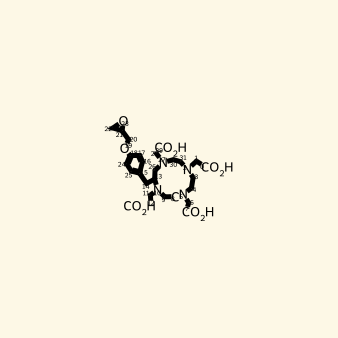 O=C(O)CN1CCN(CC(=O)O)CCN(CC(=O)O)C(Cc2ccc(OCC3CO3)cc2)CN(CC(=O)O)CC1